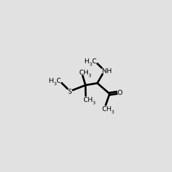 CNC(C(C)=O)C(C)(C)SC